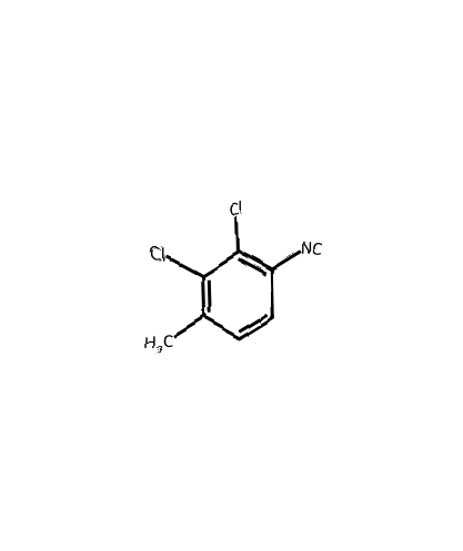 [C-]#[N+]c1ccc(C)c(Cl)c1Cl